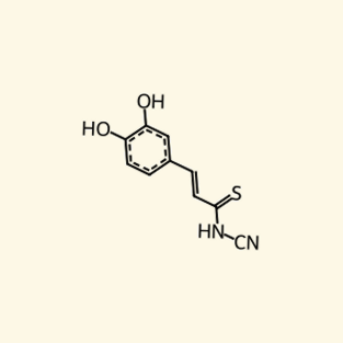 N#CNC(=S)C=Cc1ccc(O)c(O)c1